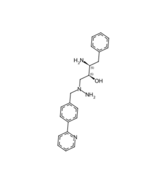 N[C@@H](Cc1ccccc1)[C@@H](O)CN(N)Cc1ccc(-c2ccccn2)cc1